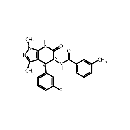 Cc1cccc(C(=O)N[C@@H]2C(=O)Nc3c(c(C)nn3C)[C@@H]2c2cccc(F)c2)c1